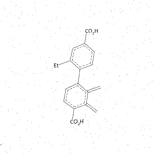 C=c1c(C(=O)O)ccc(-c2ccc(C(=O)O)cc2CC)c1=C